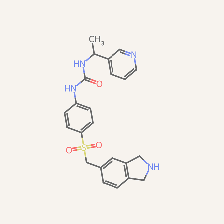 CC(NC(=O)Nc1ccc(S(=O)(=O)Cc2ccc3c(c2)CNC3)cc1)c1cccnc1